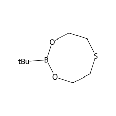 CC(C)(C)B1OCCSCCO1